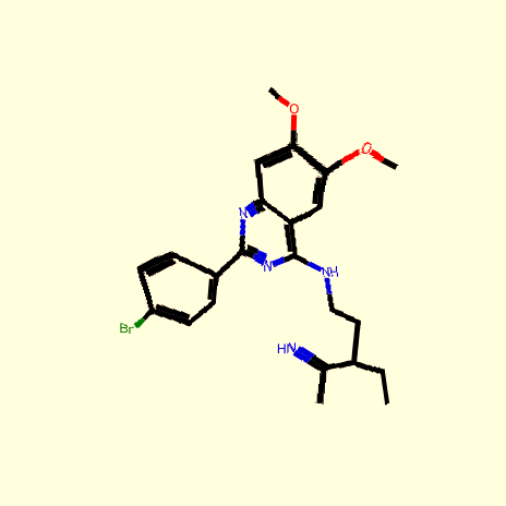 CCC(CCNc1nc(-c2ccc(Br)cc2)nc2cc(OC)c(OC)cc12)C(C)=N